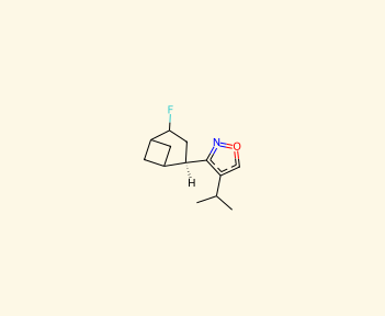 CC(C)c1conc1[C@@H]1CC(F)C2CC1C2